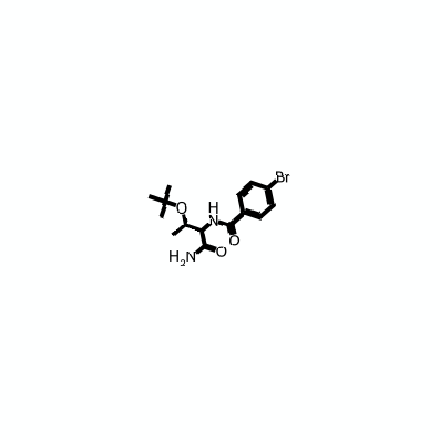 CC(OC(C)(C)C)C(NC(=O)c1ccc(Br)cc1)C(N)=O